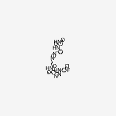 COc1cc2ncnc(Nc3ccc(F)c(Cl)c3)c2cc1NC(=O)/C=C/CN1CCN(Cc2ccccc2NC2CCC(=O)NC2=O)CC1